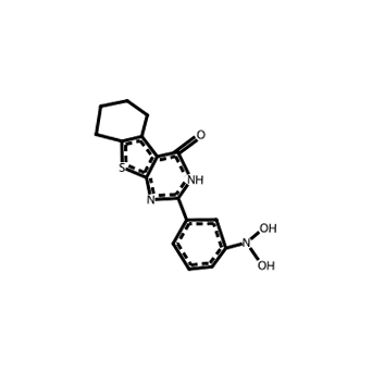 O=c1[nH]c(-c2cccc(N(O)O)c2)nc2sc3c(c12)CCCC3